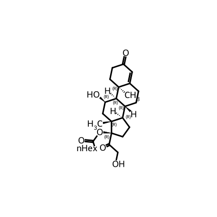 CCCCCCC(=O)O[C@]1(C(=O)CO)CC[C@@H]2[C@H]3CCC4=CC(=O)CC[C@]4(C)[C@@H]3[C@H](O)C[C@]21C